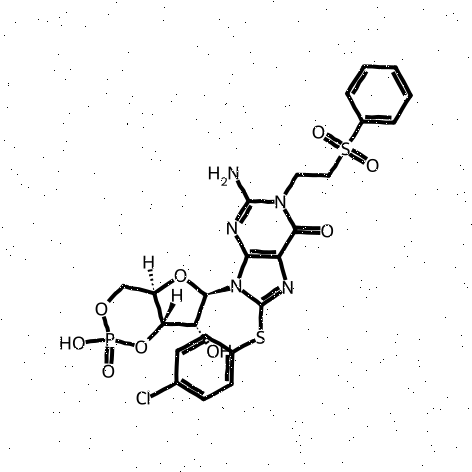 Nc1nc2c(nc(Sc3ccc(Cl)cc3)n2[C@@H]2O[C@@H]3COP(=O)(O)O[C@H]3[C@H]2O)c(=O)n1CCS(=O)(=O)c1ccccc1